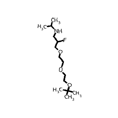 CC(C)NCC(F)COCCOCCOC(C)(C)C